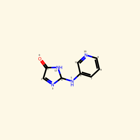 O=C1C=NC(Nc2cccnc2)N1